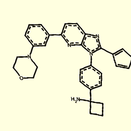 NC1(c2ccc(-n3c(C4=CCC=C4)nc4ccc(-c5cccc(N6CCOCC6)c5)nc43)cc2)CCC1